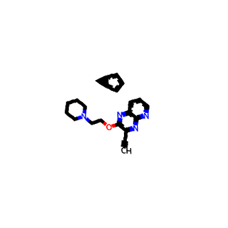 C#Cc1nc2ncccc2nc1OCCN1CCCCC1.c1cc2cc-2c1